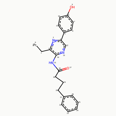 CC(C)Cc1nc(-c2ccc(O)cc2)cnc1NC(=O)CCCc1ccccc1